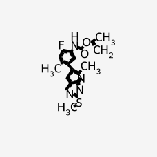 C=C(C)OC(=O)Nc1cc(-c2cc3cnc(SC)nc3nc2C)c(C)cc1F